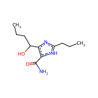 CCCc1nc(C(O)CCC)c(C(N)=O)[nH]1